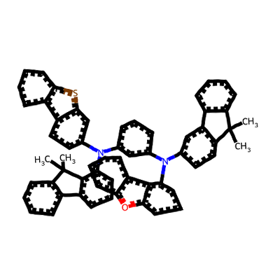 CC1(C)c2ccccc2-c2cc(N(c3cccc(N(c4ccc5c(c4)sc4ccccc45)c4cccc5c4C(C)(C)c4ccccc4-5)c3)c3cccc4oc5ccccc5c34)ccc21